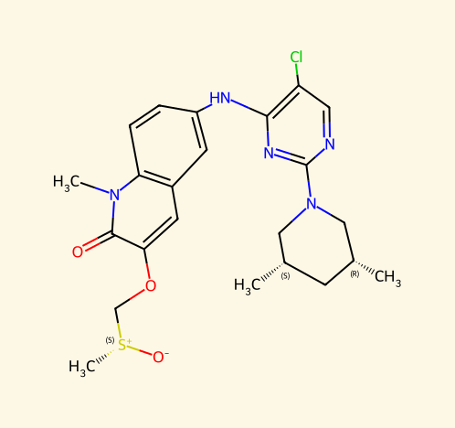 C[C@@H]1C[C@H](C)CN(c2ncc(Cl)c(Nc3ccc4c(c3)cc(OC[S@@+](C)[O-])c(=O)n4C)n2)C1